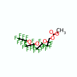 COC(=O)OCC(F)(OC(F)(F)C(F)(OC(F)(F)C(F)(OC(F)(F)C(F)(F)C(F)(F)F)C(F)(F)F)C(F)(F)F)C(F)(F)F